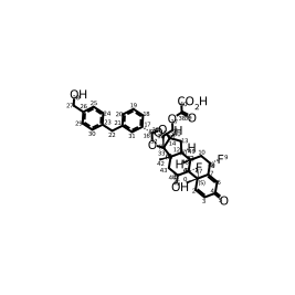 C[C@]12C=CC(=O)C=C1[C@@H](F)C[C@H]1[C@@H]3C[C@H]4O[C@@H](c5cccc(Cc6ccc(CO)cc6)c5)O[C@@]4(C(=O)COC(=O)C(=O)O)[C@@]3(C)C[C@H](O)[C@@]12F